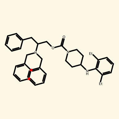 CCc1cccc(CC)c1NC1CCN(C(=O)OCC(Cc2ccccc2)N(Cc2ccccc2)Cc2ccccc2)CC1